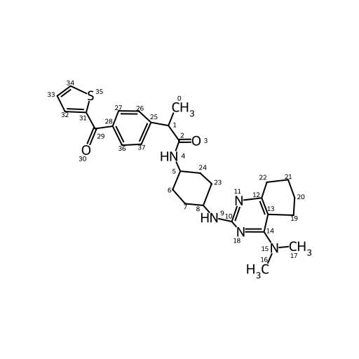 CC(C(=O)NC1CCC(Nc2nc3c(c(N(C)C)n2)CCCC3)CC1)c1ccc(C(=O)c2cccs2)cc1